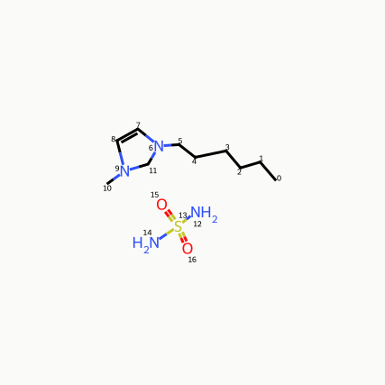 CCCCCCN1C=CN(C)C1.NS(N)(=O)=O